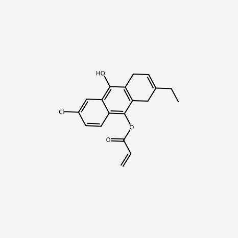 C=CC(=O)Oc1c2c(c(O)c3cc(Cl)ccc13)CC=C(CC)C2